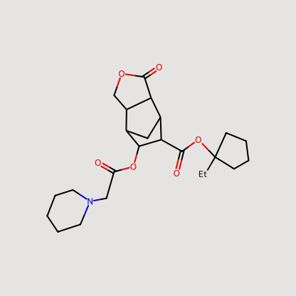 CCC1(OC(=O)C2C3CC(C4COC(=O)C43)C2OC(=O)CN2CCCCC2)CCCC1